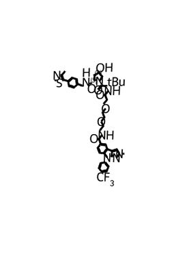 Cc1ncsc1-c1ccc(CNC(=O)[C@@H]2C[C@@H](O)CN2C(=O)C(NC(=O)CCOCCOCCNC(=O)c2ccc3c(c2)c2cn(C)nc2n3-c2ccc(C(F)(F)F)cc2)C(C)(C)C)cc1